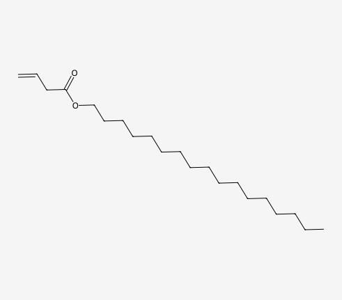 C=CCC(=O)OCCCCCCCCCCCCCCCCC